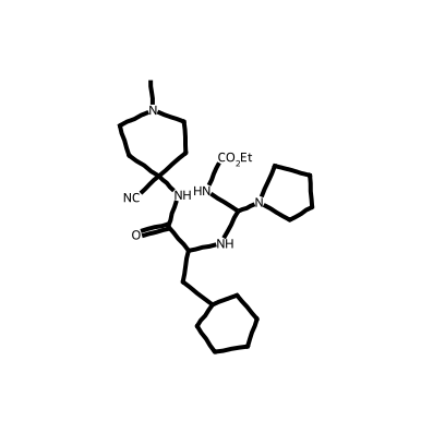 CCOC(=O)NC(NC(CC1CCCCC1)C(=O)NC1(C#N)CCN(C)CC1)N1CCCC1